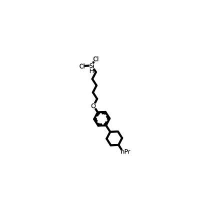 CCCC1CCC(c2ccc(OCCCCC[SiH](Cl)Cl)cc2)CC1